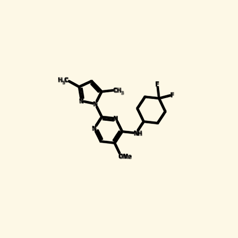 COc1cnc(-n2nc(C)cc2C)nc1NC1CCC(F)(F)CC1